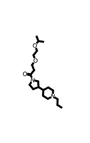 CCCN1CCC(C2CCN(C(=O)CCOCCOC(C)C)C2)CC1